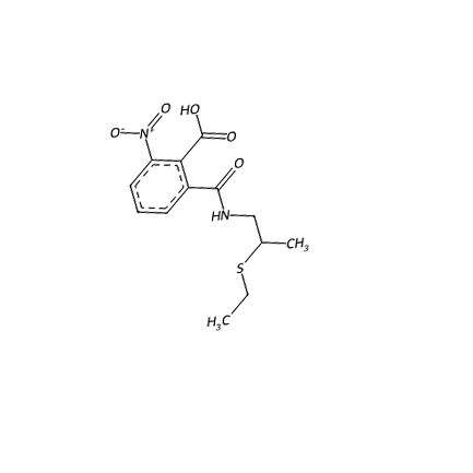 CCSC(C)CNC(=O)c1cccc([N+](=O)[O-])c1C(=O)O